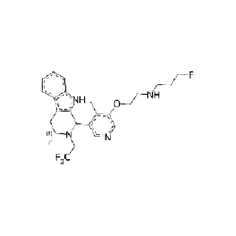 Cc1c(OCCNCCCF)cncc1C1c2[nH]c3ccccc3c2C[C@@H](C)N1CC(F)(F)F